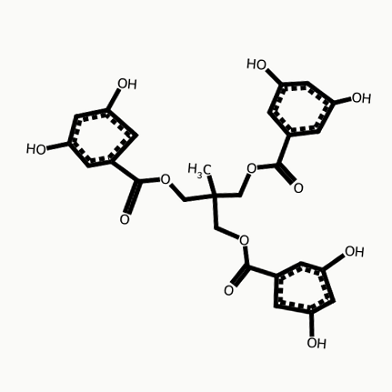 CC(COC(=O)c1cc(O)cc(O)c1)(COC(=O)c1cc(O)cc(O)c1)COC(=O)c1cc(O)cc(O)c1